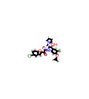 O=C(N[C@H](CN1CCCC1)[C@H](O)c1ccc(OC2CC2)c(F)c1)C(=O)c1cc2cc(Cl)ccc2o1